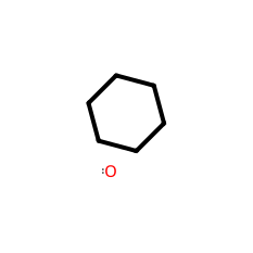 C1CCCCC1.[O]